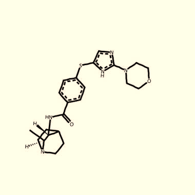 C[C@H]1[C@H](NC(=O)c2ccc(Sc3cnc(N4CCOCC4)[nH]3)cc2)C2CCN1CC2